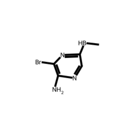 CBc1cnc(N)c(Br)n1